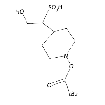 CC(C)(C)C(=O)ON1CCC(C(CO)S(=O)(=O)O)CC1